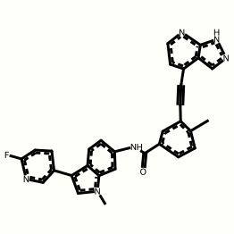 Cc1ccc(C(=O)Nc2ccc3c(-c4ccc(F)nc4)cn(C)c3c2)cc1C#Cc1ccnc2[nH]ncc12